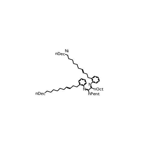 CCCCCCCCCCCCCCCCC=CCCc1ccccc1N=C(CCCCC)C(CCCCCCCC)=Nc1ccccc1CCC=CCCCCCCCCCCCCCCCC.[Ni]